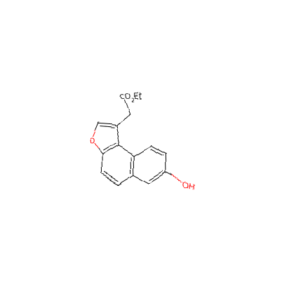 CCOC(=O)Cc1coc2ccc3cc(O)ccc3c12